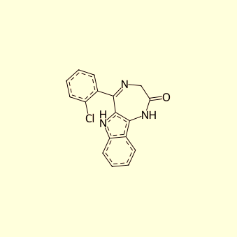 O=C1CN=C(c2ccccc2Cl)c2[nH]c3ccccc3c2N1